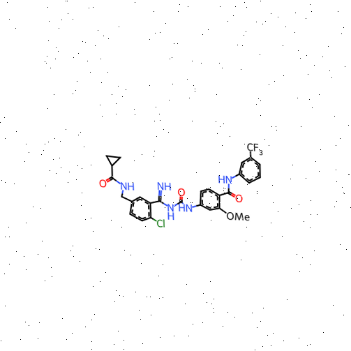 COc1cc(NC(=O)NC(=N)c2cc(CNC(=O)C3CC3)ccc2Cl)ccc1C(=O)Nc1cccc(C(F)(F)F)c1